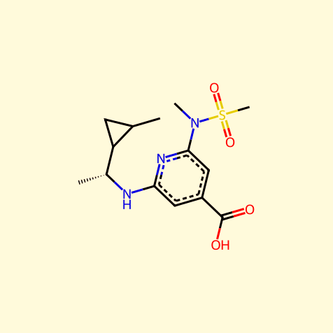 CC1CC1[C@@H](C)Nc1cc(C(=O)O)cc(N(C)S(C)(=O)=O)n1